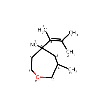 CC(C)=C(C)C1(C#N)CCOCC(C)C1